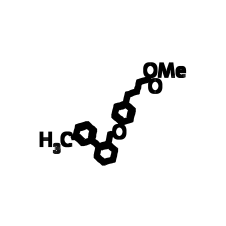 COC(=O)CCCc1ccc(OCC2=C(c3cccc(C)c3)CCCC2)cc1